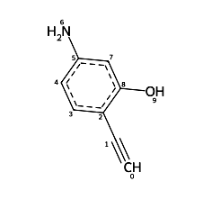 C#Cc1ccc(N)cc1O